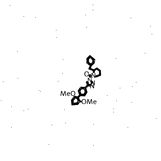 COc1cccc(OC)c1-c1ccc(-c2cn(C(=O)N3CCCCC3Cc3ccccc3)nn2)cc1